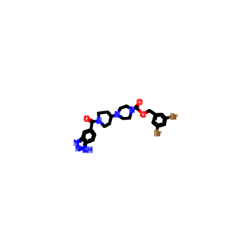 O=C(OCc1cc(Br)cc(Br)c1)N1CCN(C2CCN(C(=O)c3ccc4[nH]nnc4c3)CC2)CC1